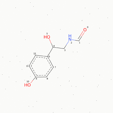 O=CNCC(O)c1ccc(O)cc1